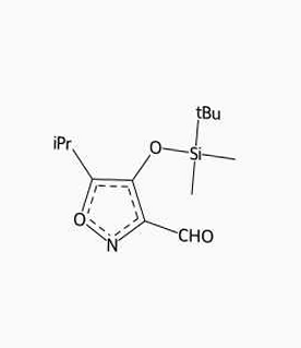 CC(C)c1onc(C=O)c1O[Si](C)(C)C(C)(C)C